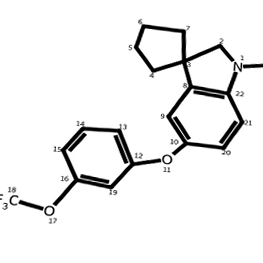 CN1CC2(CCCC2)c2cc(Oc3cccc(OC(F)(F)F)c3)ccc21